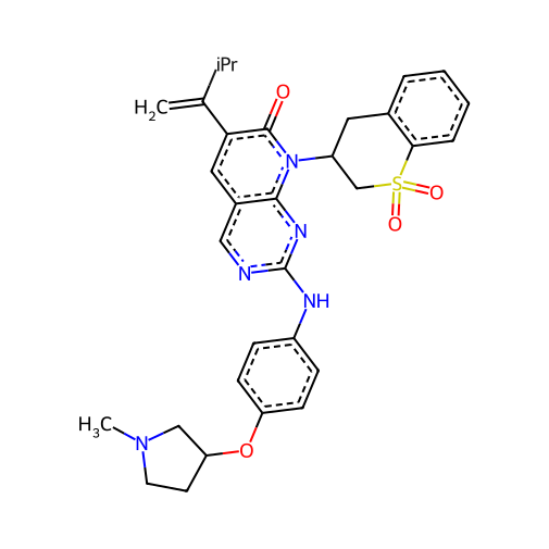 C=C(c1cc2cnc(Nc3ccc(OC4CCN(C)C4)cc3)nc2n(C2Cc3ccccc3S(=O)(=O)C2)c1=O)C(C)C